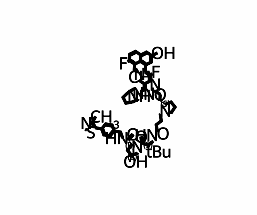 C#Cc1c(F)ccc2cc(O)cc(-c3ncc4c(N5CC6CCC(C5)N6)nc(OC[C@@H]5CCCN5CCCC(=O)NC[C@@H](C(=O)N5C[C@@H](O)C[C@@H]5C(=O)NCc5ccc(-c6scnc6C)cc5)C(C)(C)C)nc4c3F)c12